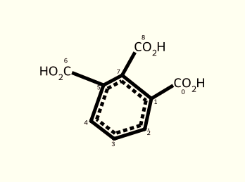 O=C(O)c1[c]ccc(C(=O)O)c1C(=O)O